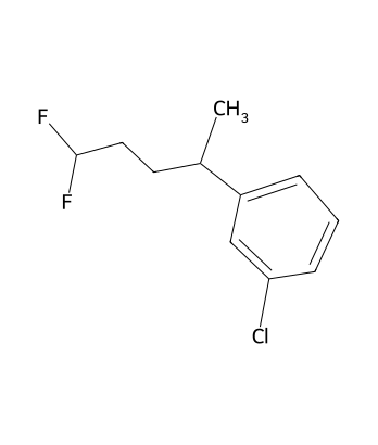 CC(CCC(F)F)c1cccc(Cl)c1